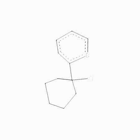 ClC1(c2bcccc2)CCCCC1